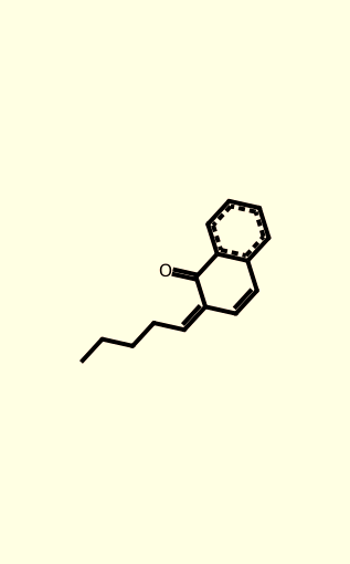 CCCCC=C1C=Cc2ccccc2C1=O